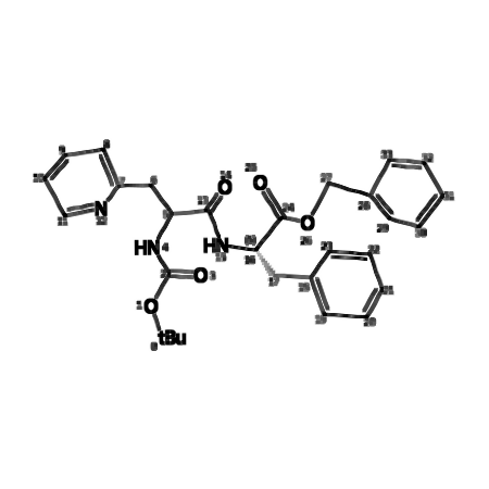 CC(C)(C)OC(=O)NC(Cc1ccccn1)C(=O)N[C@@H](Cc1ccccc1)C(=O)OCc1ccccc1